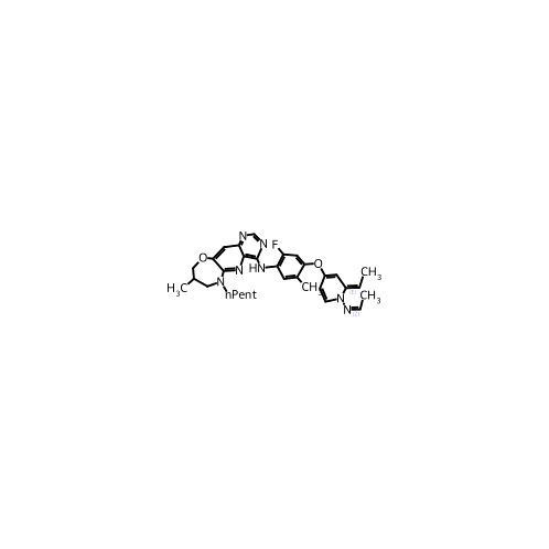 C/C=N\N1C=CC(Oc2cc(F)c(Nc3ncnc4cc5c(nc34)N(CCCCC)CC(C)CO5)cc2C)=C/C1=C\C